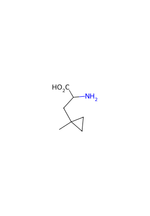 CC1(CC(N)C(=O)O)CC1